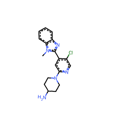 Cn1c(-c2cc(N3CCC(N)CC3)ncc2Cl)nc2ccccc21